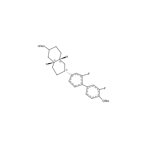 CCCCCCC1CC[C@@H]2C[C@H](c3ccc(-c4ccc(OC)c(F)c4)c(F)c3)CC[C@@H]2C1